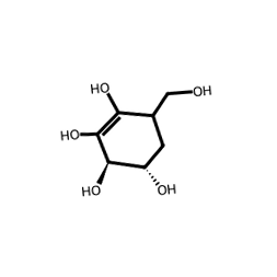 OCC1C[C@H](O)[C@@H](O)C(O)=C1O